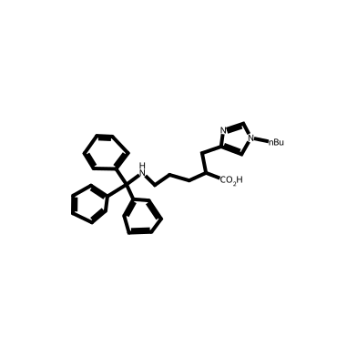 CCCCn1cnc(CC(CCCNC(c2ccccc2)(c2ccccc2)c2ccccc2)C(=O)O)c1